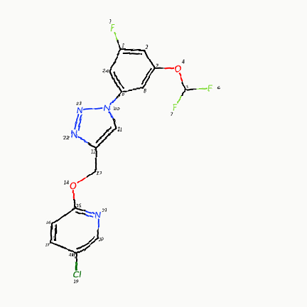 Fc1cc(OC(F)F)cc(-n2cc(COc3ccc(Cl)cn3)nn2)c1